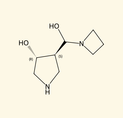 OC([C@H]1CNC[C@@H]1O)N1CCC1